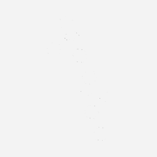 CCC1(CC)C2=C(c3ccc(-c4ccccc4)cc31)C(CC)(CC)c1cc(-c3ccc(-c4nc5ccccc5n4-c4ccccc4)cc3)ccc12